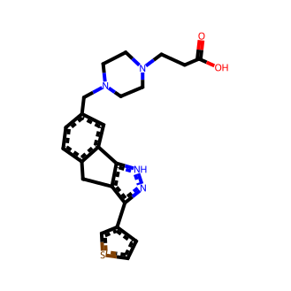 O=C(O)CCN1CCN(Cc2ccc3c(c2)-c2[nH]nc(-c4ccsc4)c2C3)CC1